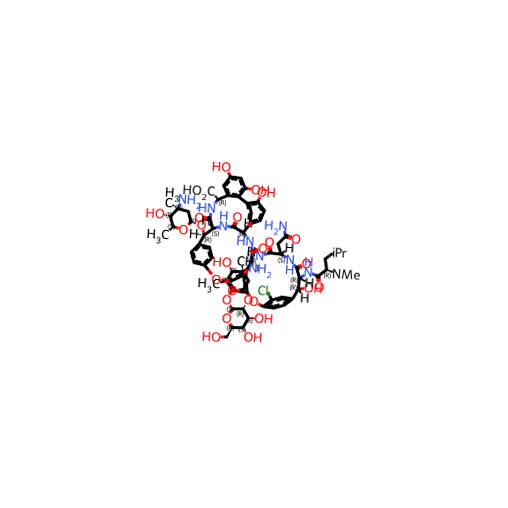 CN[C@H](CC(C)C)C(=O)N[C@H]1C(=O)N[C@@H](CC(N)=O)C(=O)N[C@H]2C(=O)N[C@H]3C(=O)N[C@H](C(=O)N[C@@H](C(=O)O)c4cc(O)cc(O)c4-c4cc3ccc4O)[C@H](O[C@H]3C[C@](C)(N)[C@@H](O)[C@H](C)O3)c3ccc(cc3)Oc3cc2cc(c3O[C@@H]2O[C@H](CO)[C@@H](O)[C@H](O)[C@H]2O[C@H]2C[C@](C)(N)[C@@H](O)[C@H](C)O2)Oc2ccc(cc2Cl)[C@H]1O